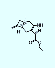 C=C1C[C@@]2(C)Cc3[nH]nc(C(=O)OCC)c3C[C@@H]12